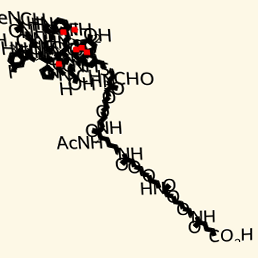 CN[C@@H](C)C(=O)N[C@H](C)C(C)N[C@@H](Cc1c[nH]c2ccc(F)cc12)C(=O)N[C@@H](Cc1c[nH]c2ccc(F)cc12)C(=O)[C@@H]1CCCN1C(=O)N[C@H](C(=O)N[C@@H](Cc1ccc(O)cc1)C(=O)N1CCC[C@@]1(C)C(=O)N[C@@H](CSCc1cccc(CSC[C@H](C=O)NC(=O)COCCOCCNC(=O)[C@H](CCCCNC(=O)COCCOCCNC(=O)COCCOCCNC(=O)CCCC(=O)O)NC(C)=O)c1)C(N)=O)[C@@H](C)O